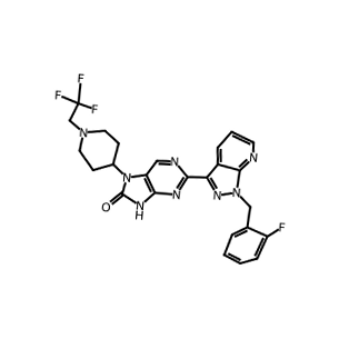 O=c1[nH]c2nc(-c3nn(Cc4ccccc4F)c4ncccc34)ncc2n1C1CCN(CC(F)(F)F)CC1